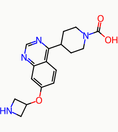 O=C(O)N1CCC(c2ncnc3cc(OC4CNC4)ccc23)CC1